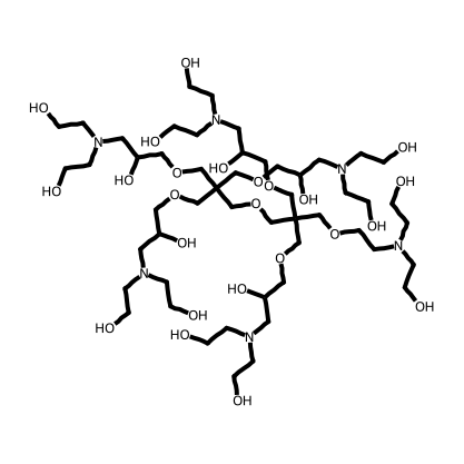 OCCN(CCO)CCOCC(COCC(O)CN(CCO)CCO)(COCC(O)CN(CCO)CCO)COCC(COCC(O)CN(CCO)CCO)(COCC(O)CN(CCO)CCO)COCC(O)CN(CCO)CCO